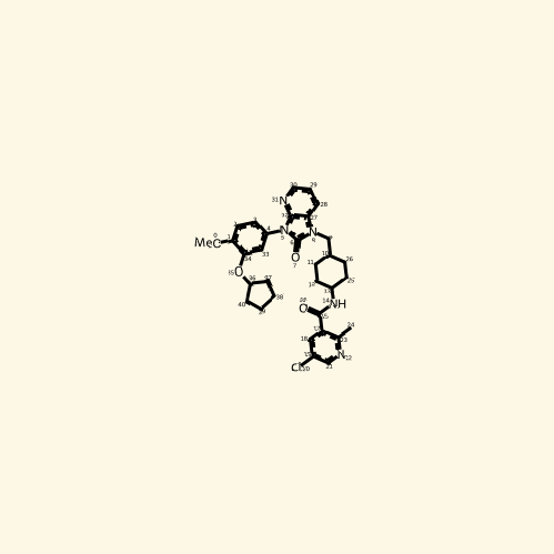 COc1ccc(-n2c(=O)n(CC3CCC(NC(=O)c4cc(Cl)cnc4C)CC3)c3cccnc32)cc1OC1CCCC1